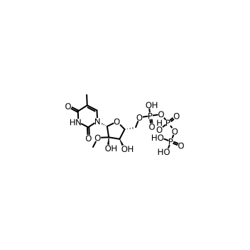 CO[C@@]1(O)[C@H](O)[C@@H](COP(=O)(O)OP(=O)(O)OP(=O)(O)O)O[C@H]1n1cc(C)c(=O)[nH]c1=O